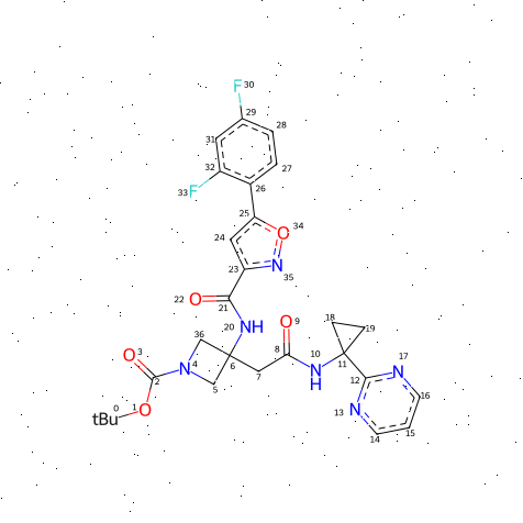 CC(C)(C)OC(=O)N1CC(CC(=O)NC2(c3ncccn3)CC2)(NC(=O)c2cc(-c3ccc(F)cc3F)on2)C1